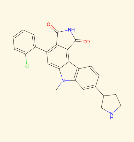 Cn1c2cc(C3CCNC3)ccc2c2c3c(c(-c4ccccc4Cl)cc21)C(=O)NC3=O